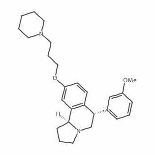 COc1cccc([C@@H]2CN3CCC[C@H]3c3cc(OCCCN4CCCCC4)ccc32)c1